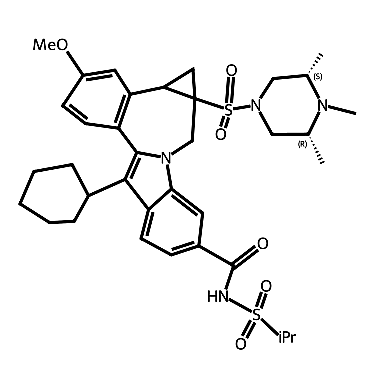 COc1ccc2c(c1)C1CC1(S(=O)(=O)N1C[C@@H](C)N(C)[C@@H](C)C1)Cn1c-2c(C2CCCCC2)c2ccc(C(=O)NS(=O)(=O)C(C)C)cc21